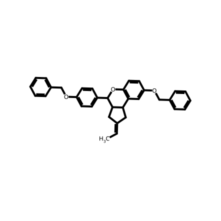 CC=C1CC2c3cc(OCc4ccccc4)ccc3OC(c3ccc(OCc4ccccc4)cc3)C2C1